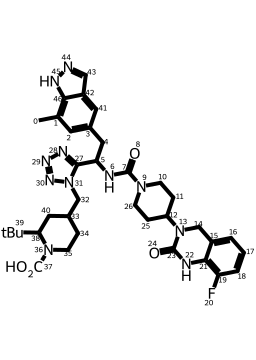 Cc1cc(CC(NC(=O)N2CCC(N3Cc4cccc(F)c4NC3=O)CC2)c2nnnn2CC2CCN(C(=O)O)C(C(C)(C)C)C2)cc2cn[nH]c12